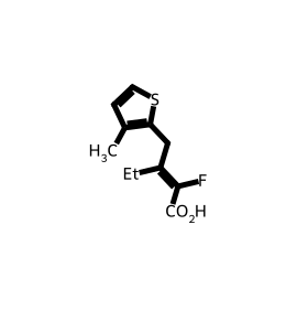 CCC(Cc1sccc1C)=C(F)C(=O)O